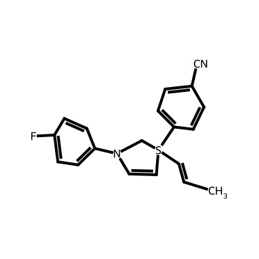 CC=CS1(c2ccc(C#N)cc2)C=CN(c2ccc(F)cc2)C1